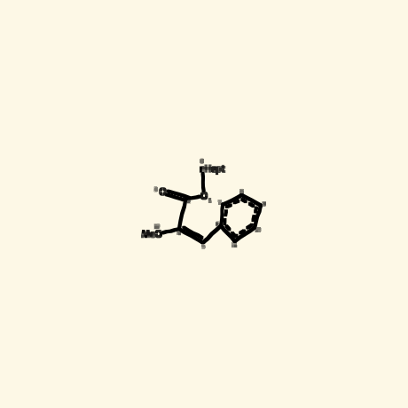 CCCCCCCOC(=O)C(=Cc1ccccc1)OC